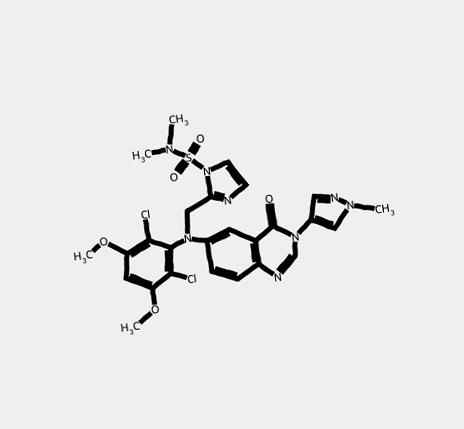 COc1cc(OC)c(Cl)c(N(Cc2nccn2S(=O)(=O)N(C)C)c2ccc3ncn(-c4cnn(C)c4)c(=O)c3c2)c1Cl